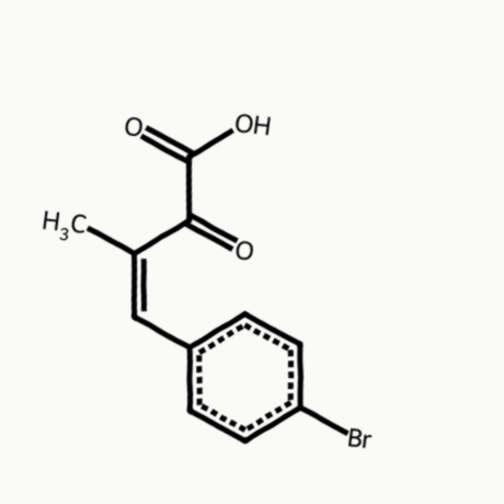 CC(=Cc1ccc(Br)cc1)C(=O)C(=O)O